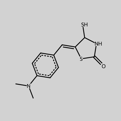 CN(C)c1ccc(/C=C2\SC(=O)NC2S)cc1